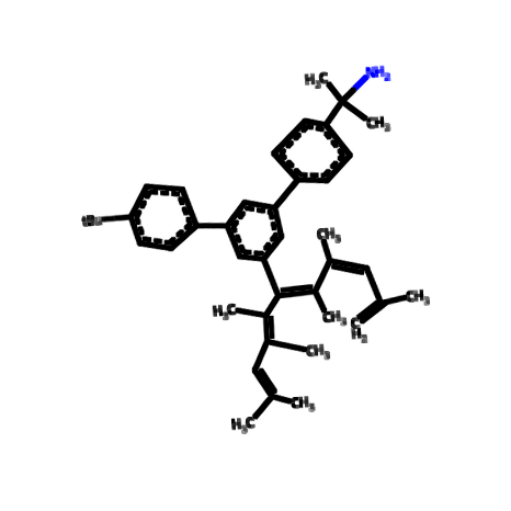 C=C(C)\C=C(C)/C(C)=C(/C(C)=C(\C)C=C(C)C)c1cc(-c2ccc(C(C)(C)C)cc2)cc(-c2ccc(C(C)(C)N)cc2)c1